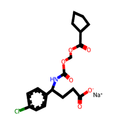 O=C([O-])CCC(NC(=O)OCOC(=O)C1CCCC1)c1ccc(Cl)cc1.[Na+]